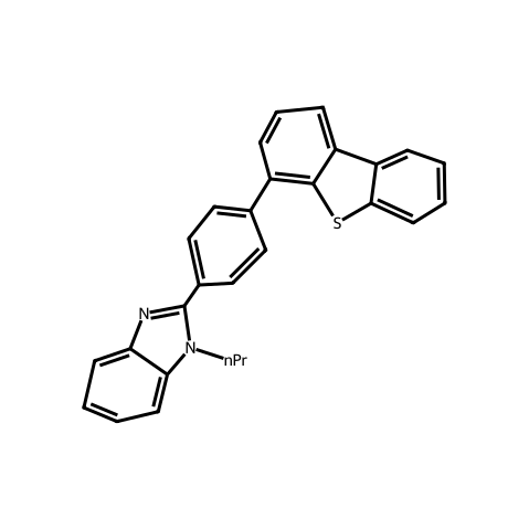 CCCn1c(-c2ccc(-c3cccc4c3sc3ccccc34)cc2)nc2ccccc21